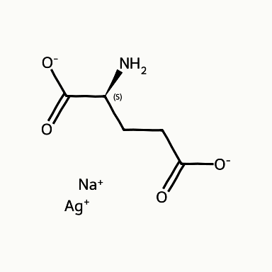 N[C@@H](CCC(=O)[O-])C(=O)[O-].[Ag+].[Na+]